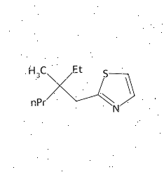 CCCC(C)(CC)Cc1nccs1